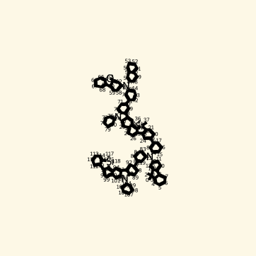 CC1(C)c2ccccc2-c2ccc(N(c3cccc(-c4ccc5c(c4)-c4ccc6cc7c(cc6c4[Si]5(C)C)c4cc(-c5cccc(N(c6ccc8ccccc8c6)c6ccc8c(c6)oc6ccccc68)c5)ccc4n7-c4ccccc4)c3)c3cccc(-c4ccc5c(c4)c4cc6c7c(ccc6cc4n5-c4ccccc4)-c4ccccc4[Si]7(C)C)c3)cc21